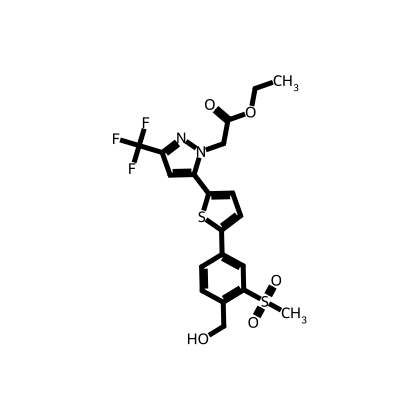 CCOC(=O)Cn1nc(C(F)(F)F)cc1-c1ccc(-c2ccc(CO)c(S(C)(=O)=O)c2)s1